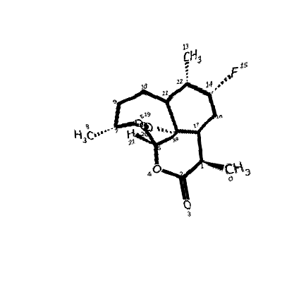 C[C@H]1C(=O)O[C@@H]2O[C@]3(C)CCC4[C@H](C)[C@H](F)CC1[C@]42OO3